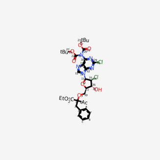 CCOC(=O)C(Cc1ccccc1)(OC[C@H]1O[C@@H](n2cnc3c(N(C(=O)OC(C)(C)C)C(=O)OC(C)(C)C)nc(Cl)nc32)[C@@H](Cl)[C@@H]1O)C(C)=O